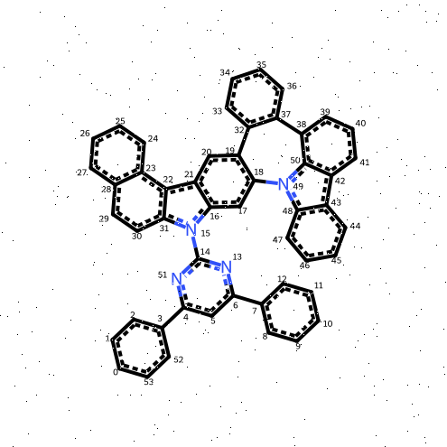 c1ccc(-c2cc(-c3ccccc3)nc(-n3c4cc5c(cc4c4c6ccccc6ccc43)-c3ccccc3-c3cccc4c6ccccc6n-5c34)n2)cc1